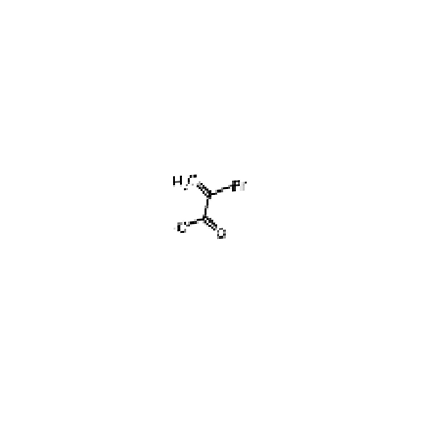 C=C(C([O])=O)C(C)C